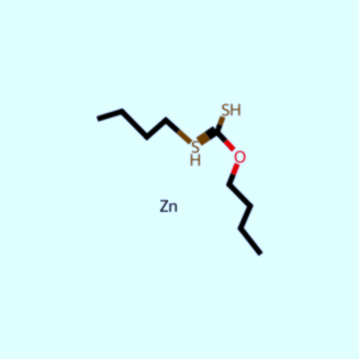 CCCCOC(S)=[SH]CCCC.[Zn]